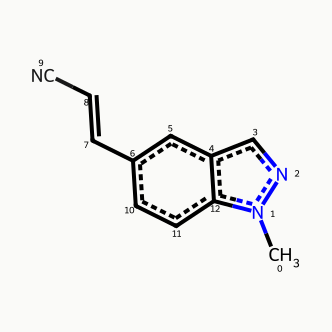 Cn1ncc2cc(C=CC#N)ccc21